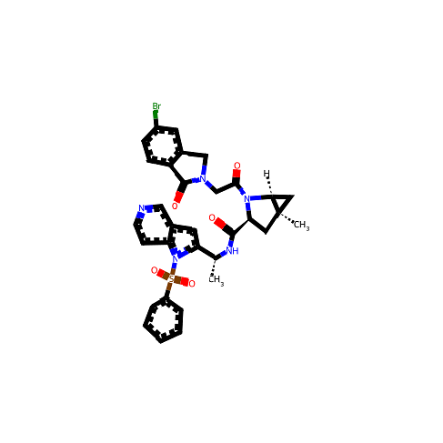 C[C@@H](NC(=O)[C@@H]1C[C@]2(C)C[C@@H]2N1C(=O)CN1Cc2cc(Br)ccc2C1=O)c1cc2cnccc2n1S(=O)(=O)c1ccccc1